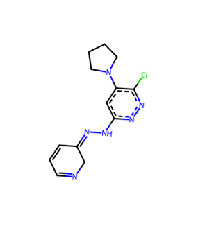 Clc1nnc(NN=C2C=CC=NC2)cc1N1CCCC1